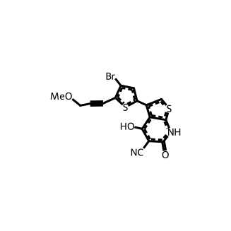 COCC#Cc1sc(-c2csc3[nH]c(=O)c(C#N)c(O)c23)cc1Br